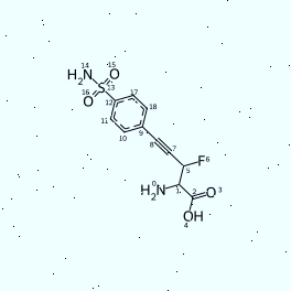 NC(C(=O)O)C(F)C#Cc1ccc(S(N)(=O)=O)cc1